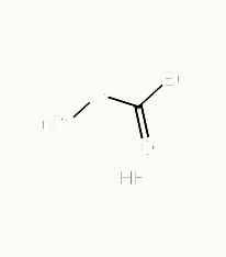 CCCOC(=O)CC.F